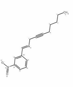 CCCCCC#CC/N=C/c1cccc([N+](=O)[O-])c1